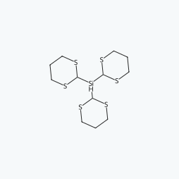 C1CSC([SiH](C2SCCCS2)C2SCCCS2)SC1